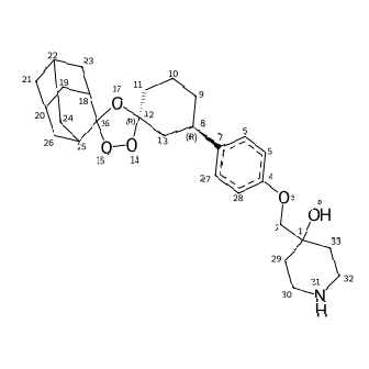 OC1(COc2ccc([C@@H]3CCC[C@]4(C3)OOC3(O4)C4CC5CC(C4)CC3C5)cc2)CCNCC1